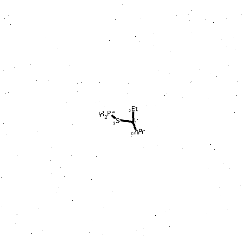 CCCC(CC)SP